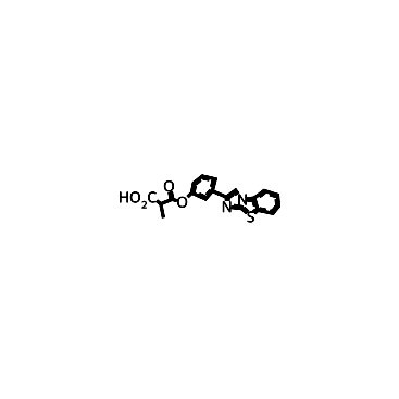 CC(C(=O)O)C(=O)Oc1cccc(-c2cn3c(n2)sc2ccccc23)c1